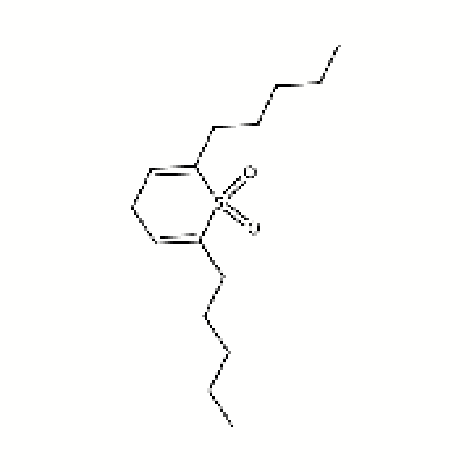 CCCCCC1=CCC=C(CCCCC)S1(=O)=O